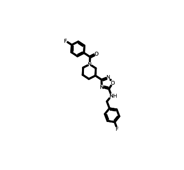 O=C(c1ccc(F)cc1)N1CCCC(c2noc(NCc3ccc(F)cc3)n2)C1